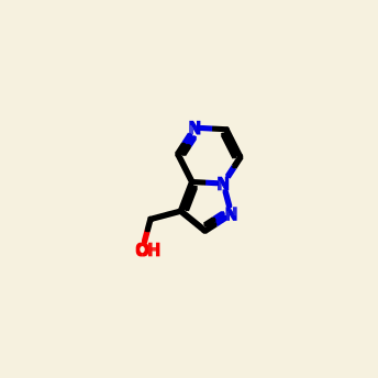 OCc1cnn2ccncc12